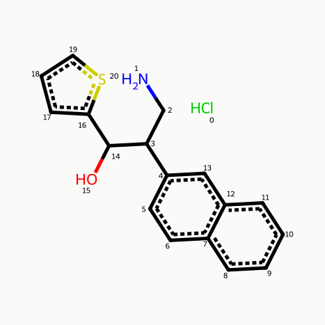 Cl.NCC(c1ccc2ccccc2c1)C(O)c1cccs1